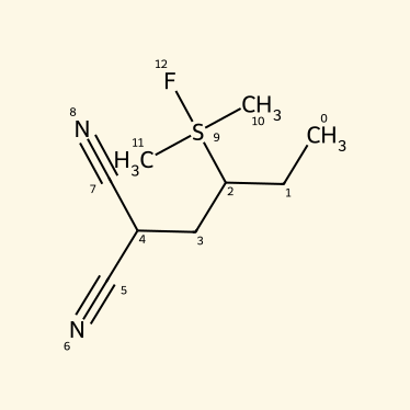 CCC(CC(C#N)C#N)S(C)(C)F